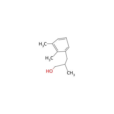 Cc1cccc(CC(C)CO)c1C